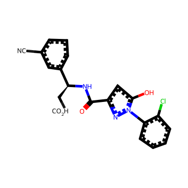 N#Cc1cccc([C@H](CC(=O)O)NC(=O)c2cc(O)n(-c3ccccc3Cl)n2)c1